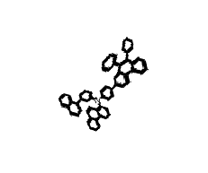 c1ccc(-c2c(-c3ccccc3)c3cc(-c4ccc(N(c5cccc(-c6cccc7ccccc67)c5)c5cccc6c5ccc5ccccc56)cc4)ccc3c3ccccc23)cc1